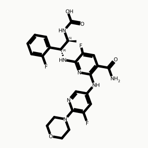 C[C@H](NC(=O)O)[C@H](Nc1nc(Nc2cnc(N3CCOCC3)c(F)c2)c(C(N)=O)cc1F)c1ccccc1F